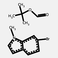 CC(C)(C)OC=O.Cn1ccc2ccc(Br)cc21